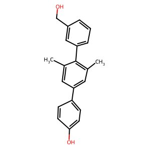 Cc1cc(-c2ccc(O)cc2)cc(C)c1-c1cccc(CO)c1